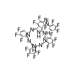 FC1=C(F)C(F)(N(F)c2ccc(F)c(F)c2F)c2c3[nH]/c(c2=C1F)=N\C1=NC(=N\c2[nH]c(c4c(F)c(F)c(F)c(F)c24)/N=C2\N=C(N3)c3c(F)c(F)c(F)c(F)c32)/c2c1cc(F)c(F)c2F